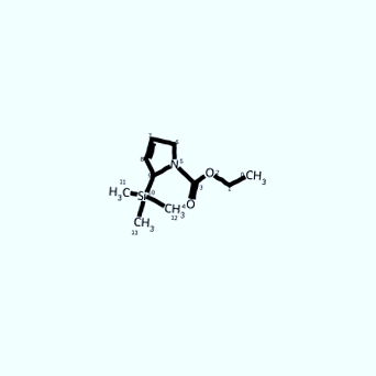 CCOC(=O)N1CC=CC1[Si](C)(C)C